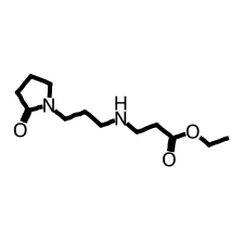 CCOC(=O)CCNCCCN1CCCC1=O